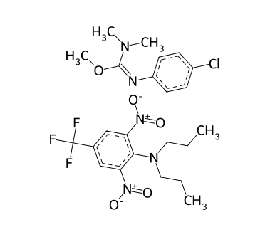 CCCN(CCC)c1c([N+](=O)[O-])cc(C(F)(F)F)cc1[N+](=O)[O-].CO/C(=N/c1ccc(Cl)cc1)N(C)C